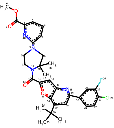 COC(=O)c1cccc(N2CCN(C(=O)c3cc4nc(-c5ccc(Cl)c(F)c5)cc(C(C)(C)C)c4o3)C(C)(C)C2)n1